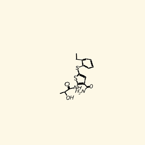 CCc1ccccc1Sc1cc(C(N)=O)c(NC(=O)C(C)O)s1